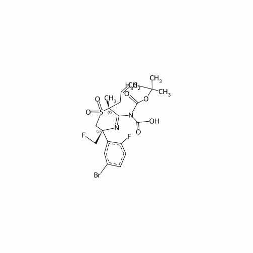 C=CC[C@]1(C)C(N(C(=O)O)C(=O)OC(C)(C)C)=N[C@](CF)(c2cc(Br)ccc2F)CS1(=O)=O